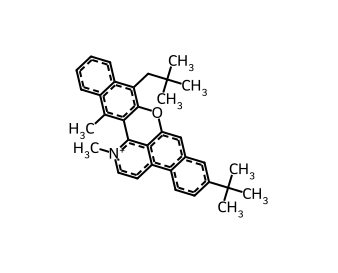 Cc1c2c(c(CC(C)(C)C)c3ccccc13)Oc1cc3cc(C(C)(C)C)ccc3c3cc[n+](C)c-2c13